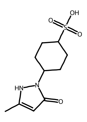 Cc1cc(=O)n(C2CCC(S(=O)(=O)O)CC2)[nH]1